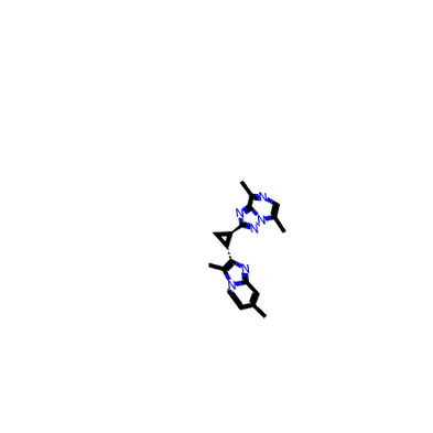 Cc1ccn2c(C)c([C@@H]3C[C@H]3c3nc4c(C)ncc(C)n4n3)nc2c1